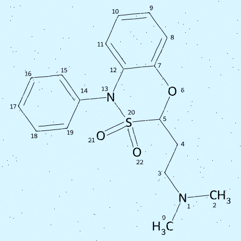 CN(C)CCC1Oc2ccccc2N(c2ccccc2)S1(=O)=O